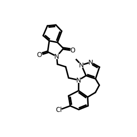 Cn1ncc2c1N(CCCN1C(=O)c3ccccc3C1=O)c1cc(Cl)ccc1CC2